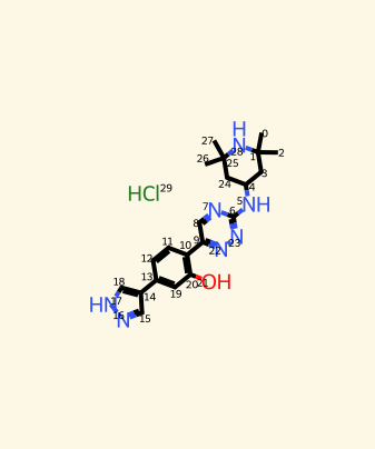 CC1(C)CC(Nc2ncc(-c3ccc(-c4cn[nH]c4)cc3O)nn2)CC(C)(C)N1.Cl